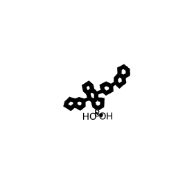 OB(O)c1ccc2c(-c3ccc(-c4ccc5ccccc5c4)cc3)c3ccccc3c(-c3ccc4ccccc4c3)c2c1